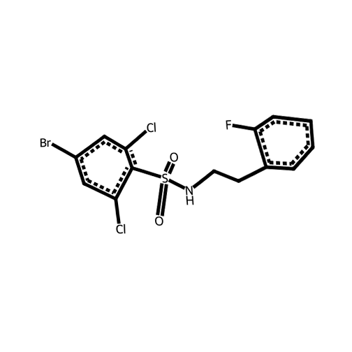 O=S(=O)(NCCc1ccccc1F)c1c(Cl)cc(Br)cc1Cl